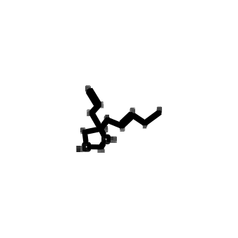 C=CCC1(CC=CCC)COCO1